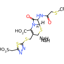 O=C(CSC(F)(F)F)NC1C(=O)N2C(C(=O)O)=C(CSc3nnc(CS(=O)(=O)O)s3)CS[C@H]12.[NaH].[NaH]